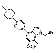 Cc1c(C(=O)O)cc(-c2ccc(N3CCN(C)CC3)nc2)c2ccn(CC(C)C)c12